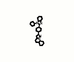 c1ccc(-n2c(-c3ccc(-c4cc5ccc6ccccc6n5n4)cc3)nc3ccccc32)cc1